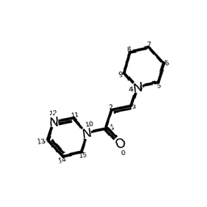 O=C(C=CN1CCCCC1)N1C=NC=CC1